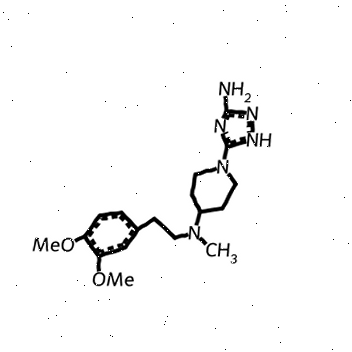 COc1ccc(CCN(C)C2CCN(c3nc(N)n[nH]3)CC2)cc1OC